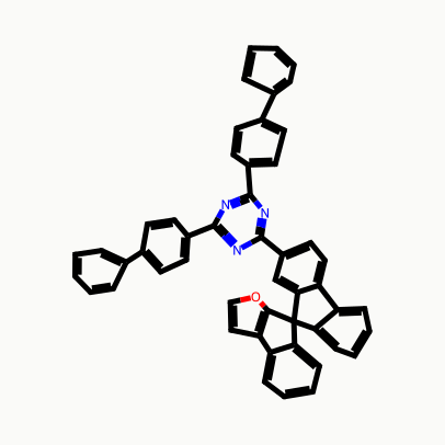 c1ccc(-c2ccc(-c3nc(-c4ccc(-c5ccccc5)cc4)nc(-c4ccc5c(c4)C4(c6ccccc6-5)c5ccccc5-c5ccoc54)n3)cc2)cc1